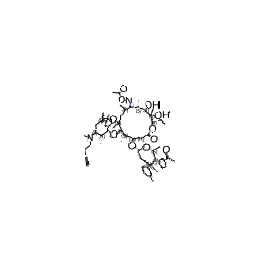 C#CCCN(C)[C@H]1C[C@@H](C)OC(O[C@@H]2[C@@H](C)[C@H](OC3C[C@@](C)(OC)[C@@H](OC(C)=O)[C@H](C)O3)[C@@H](C)C(=O)O[C@H](CC)[C@@](C)(O)[C@H](O)[C@@H](C)/C(=N/OC(C)=O)[C@H](C)C[C@@]2(C)O)[C@@H]1C